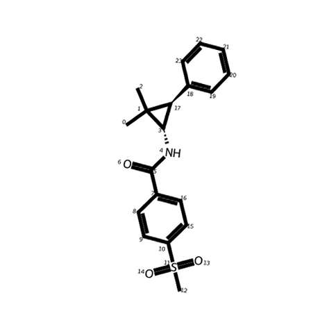 CC1(C)[C@@H](NC(=O)c2ccc(S(C)(=O)=O)cc2)[C@@H]1c1ccccc1